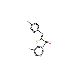 Cc1ccc(C=C2Sc3c(C)cccc3C2=O)cc1